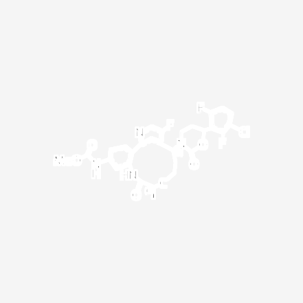 COC(=O)Nc1ccc2c(c1)NC(=O)[C@H](C)CCC[C@H](N1CCC(c3c(F)ccc(Cl)c3F)OC1=O)c1cc-2ncc1F